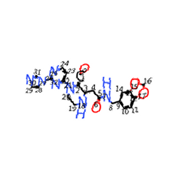 O=C=C1C(CC(=O)NCc2ccc3c(c2)OCO3)NCCN1c1ccnc(-n2ccnc2)n1